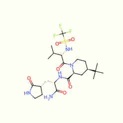 CC(C)[C@H](NS(=O)(=O)C(F)(F)F)C(=O)N1CC[C@@H](C(C)(C)C)C[C@H]1C(=O)N[C@@H](C[C@@H]1CCNC1=O)C(N)=O